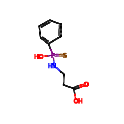 O=C(O)CCNP(O)(=S)c1ccccc1